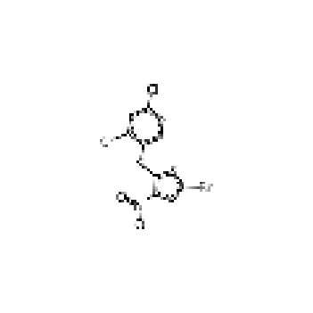 O=[N+]([O-])c1cc(Br)sc1Sc1ccc(Cl)cc1Cl